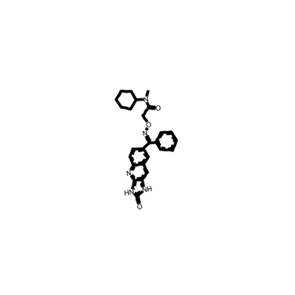 CN(C(=O)CON=C(c1ccccc1)c1ccc2nc3[nH]c(=O)[nH]c3cc2c1)C1CCCCC1